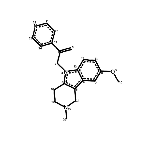 C=C(Cn1c2c(c3cc(OC)ccc31)CN(C)CC2)c1ccncc1